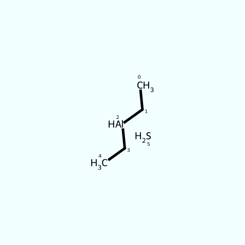 C[CH2][AlH][CH2]C.S